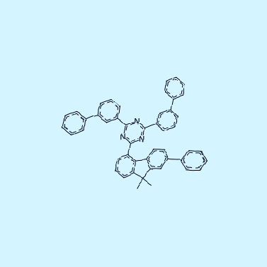 CC1(C)c2cc(-c3ccccc3)ccc2-c2c(-c3nc(-c4cccc(-c5ccccc5)c4)nc(-c4cccc(-c5ccccc5)c4)n3)cccc21